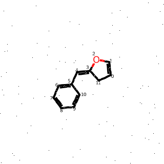 C1=COC(=Cc2ccccc2)C1